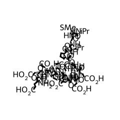 CSC[C@H](NC(=O)CNC(=O)[C@H](CC(C)C)NC(=O)C1CCCN1C(=O)COCCNC(=O)[C@@H](CCC(=O)O)NC(=O)[C@@H](CCC(=O)O)NC(=O)[C@@H](CCC(=O)O)NC(=O)[C@@H](CCC(=O)O)NC(=O)[C@@H](CCC(=O)O)NC(=O)[C@@H](CCC(=O)O)NC(=O)[C@@H](CCC(=O)O)NC(=O)[C@@H](CCC(=O)O)NC(=O)[C@H](N)CCC(=O)O)C(=O)NC(C)C